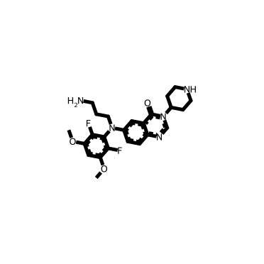 COc1cc(OC)c(F)c(N(CCCN)c2ccc3ncn(C4CCNCC4)c(=O)c3c2)c1F